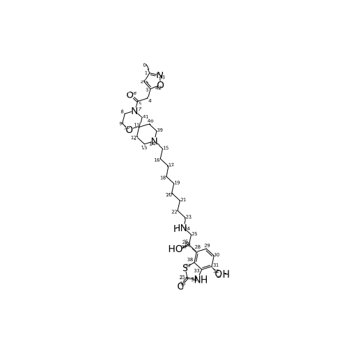 Cc1cc(CC(=O)N2CCOC3(CCN(CCCCCCCCCNC[C@H](O)c4ccc(O)c5[nH]c(=O)sc45)CC3)C2)on1